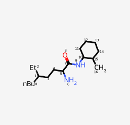 CCCCC(CC)CCC(N)C(=O)NC1CCCCC1C